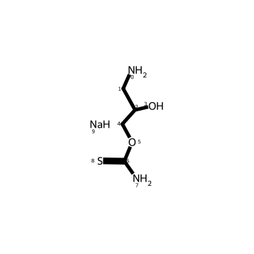 NCC(O)COC(N)=S.[NaH]